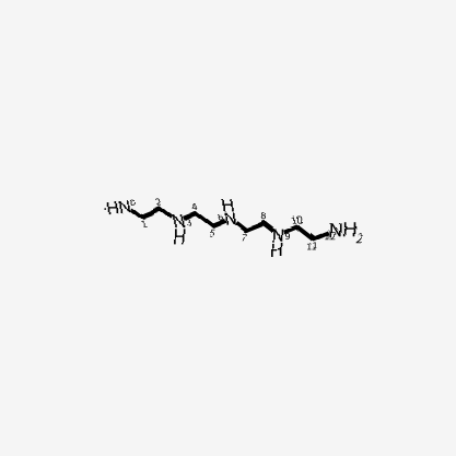 [NH]CCNCCNCCNCCN